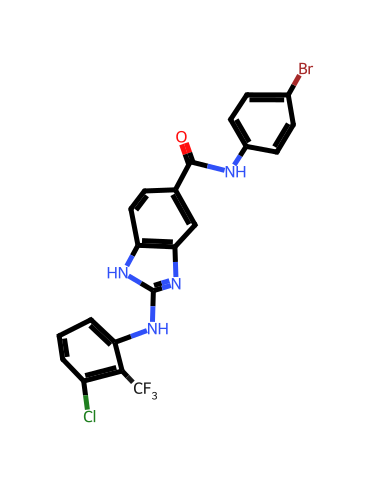 O=C(Nc1ccc(Br)cc1)c1ccc2[nH]c(Nc3cccc(Cl)c3C(F)(F)F)nc2c1